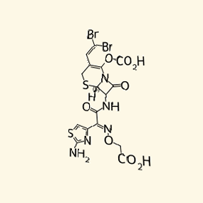 Nc1nc(C(=NOCC(=O)O)C(=O)NC2C(=O)N3C(OC(=O)O)=C(C=C(Br)Br)CS[C@@H]23)cs1